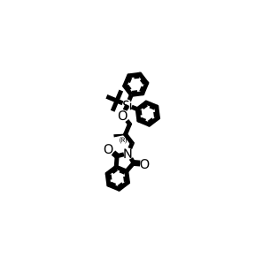 C[C@@H](CO[Si](c1ccccc1)(c1ccccc1)C(C)(C)C)CN1C(=O)c2ccccc2C1=O